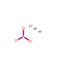 [H+].[H+].[Li+].[O-]P([O-])[O-]